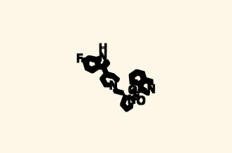 O=S(=O)(c1cncc2ccccc12)N1CCC[C@@H]1CCN1CC=C(c2c[nH]c3cc(F)ccc23)CC1